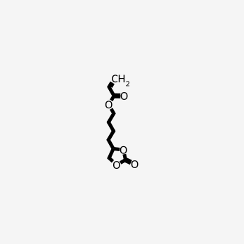 C=CC(=O)OCCCCC1COC(=O)O1